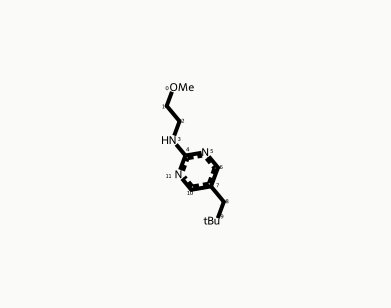 COCCNc1ncc(CC(C)(C)C)cn1